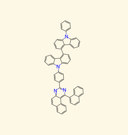 c1ccc(-n2c3ccccc3c3c(-c4cccc5c4c4ccccc4n5-c4ccc(-c5nc(-c6cccc7ccccc67)c6c(ccc7ccccc76)n5)cc4)cccc32)cc1